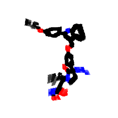 COc1ccc(-c2cc(COc3ccc([C@]4(N)CCN([C@H](C)C(=O)NO)C4=O)cc3)c3ccccc3n2)cc1